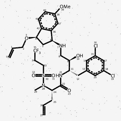 C=CCO[C@@H]1C[C@H](NC[C@@H](O)[C@H](Cc2cc(Cl)cc(Cl)c2)NC(=O)[C@H](CC=C)N(C)S(=O)(=O)CCC(F)(F)F)c2cc(OC)ccc21